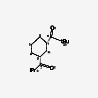 CC(C)C(=O)[C@@H]1CCC[C@H](C(=O)C(C)(C)C)C1